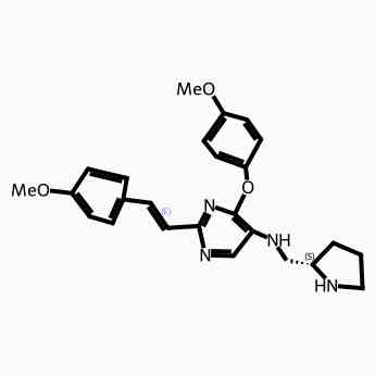 COc1ccc(/C=C/c2ncc(NC[C@@H]3CCCN3)c(Oc3ccc(OC)cc3)n2)cc1